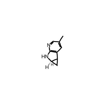 Cc1cnc2c(c1)C1C[C@H]1N2